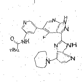 CCCCC(=O)Nc1cncc(-c2cnc3[nH]nc(-c4nc5c(N6CCCCC6)ccnc5[nH]4)c3c2F)c1